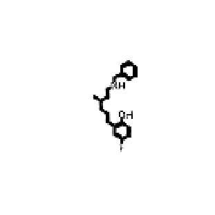 CC(CCCc1cc(F)ccc1O)CCNCc1ccccc1